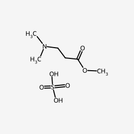 COC(=O)CCN(C)C.O=S(=O)(O)O